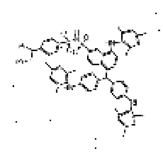 Cc1cc(C)c(Nc2ccc(C(c3ccc(Nc4c(C)cc(C)cc4C)cc3)c3ccc(Nc4c(C)cc(C)cc4C)c4cc(S(=O)(=O)NS(=O)(=O)c5ccc(C(CC(C)C)C(C)C)cc5)ccc34)cc2)c(C)c1